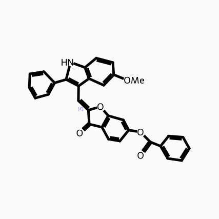 COc1ccc2[nH]c(-c3ccccc3)c(/C=C3\Oc4cc(OC(=O)c5ccccc5)ccc4C3=O)c2c1